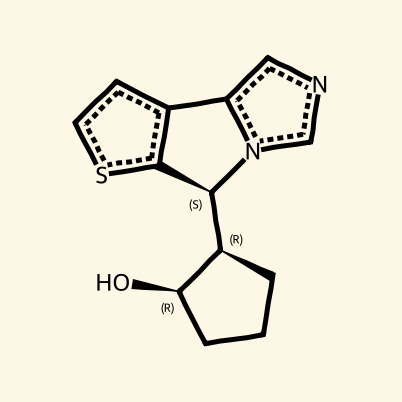 O[C@@H]1CCC[C@@H]1[C@H]1c2sccc2-c2cncn21